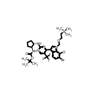 CC(C)(C)OC(=O)N[C@H]1CCC[C@@H]1Nc1ncc(C(F)(F)F)c(-c2cn(COCC[Si](C)(C)C)c3c(Cl)c(Br)ccc23)n1